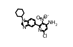 Nc1cc(Cl)nc(-c2ccc3c(c2)ncn3C2CCCCC2)c1[N+](=O)[O-]